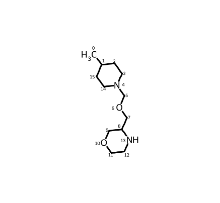 CC1CCN(COCC2COCCN2)CC1